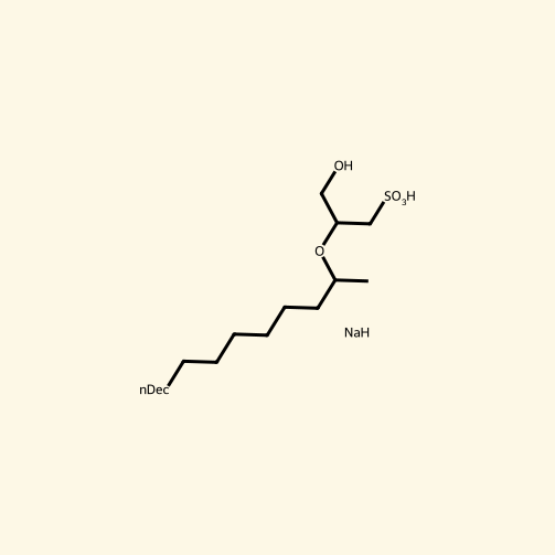 CCCCCCCCCCCCCCCCC(C)OC(CO)CS(=O)(=O)O.[NaH]